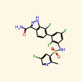 Cc1ncc(F)cc1S(=O)(=O)Nc1cc(F)cc(-c2ccc3c(C(N)=O)n[nH]c3c2F)c1F